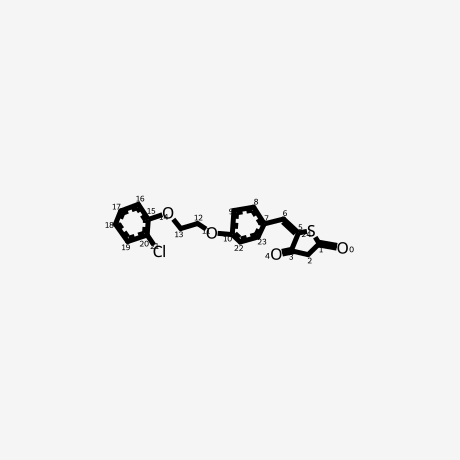 O=C1CC(=O)/C(=C\c2ccc(OCCOc3ccccc3Cl)cc2)S1